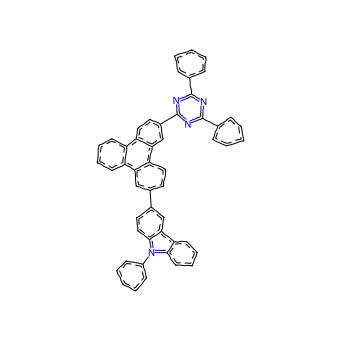 c1ccc(-c2nc(-c3ccccc3)nc(-c3ccc4c5ccccc5c5cc(-c6ccc7c(c6)c6ccccc6n7-c6ccccc6)ccc5c4c3)n2)cc1